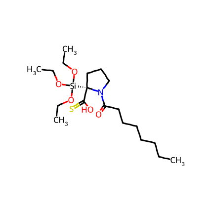 CCCCCCCC(=O)N1CCC[C@@]1(C(O)=S)[Si](OCC)(OCC)OCC